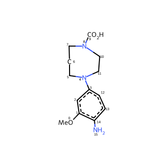 COc1cc(N2CCCN(C(=O)O)CC2)ccc1N